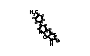 Cc1ccc(-c2cncc(C=C3SC(=O)NC3=O)c2)cc1